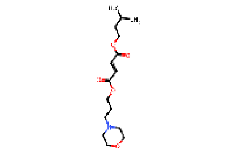 CC(C)CCOC(=O)/C=C/C(=O)OCCCN1CCOCC1